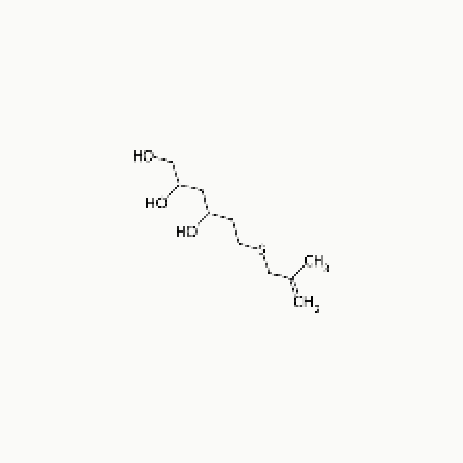 C=C(C)CSCCC(O)CC(O)CO